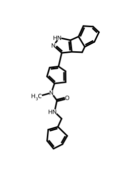 CN(C(=O)NCc1ccccc1)c1ccc(-c2n[nH]c3c2Cc2ccccc2-3)cc1